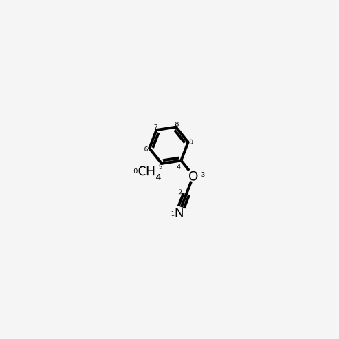 C.N#COc1ccccc1